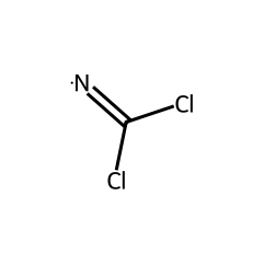 [N]=C(Cl)Cl